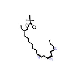 CC/C=C\C/C=C\C/C=C\CCCCCCC(CC)COC(=O)C(C)(C)C